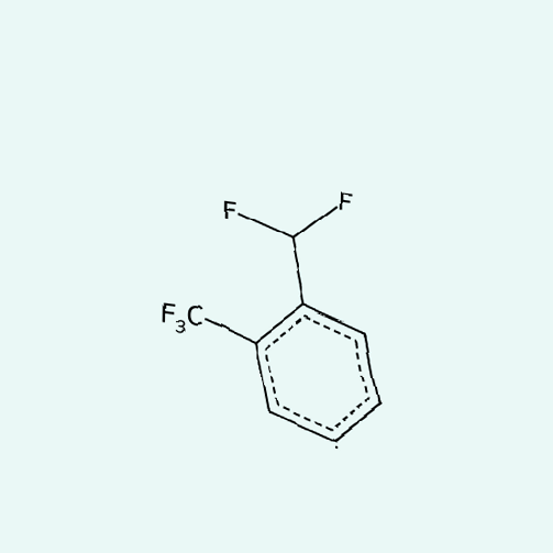 FC(F)c1cc[c]cc1C(F)(F)F